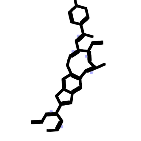 C=C/C=C(\C=C/C)C1=Cc2cc3c(cc2C1)C/C=C(/C=C(\C)C1=CCN(C)C=C1)C(\C=C)=C\C(C)=C\3